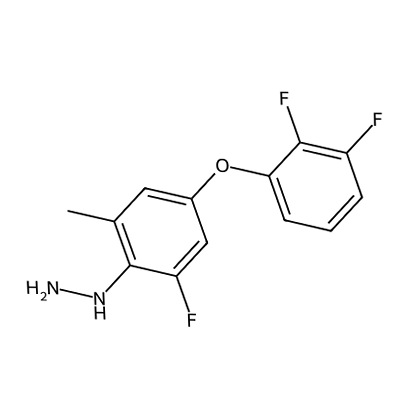 Cc1cc(Oc2cccc(F)c2F)cc(F)c1NN